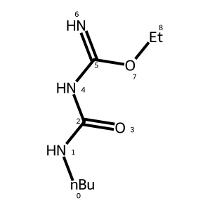 CCCCNC(=O)NC(=N)OCC